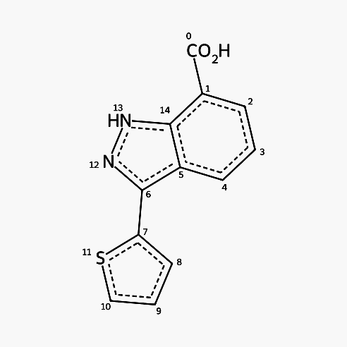 O=C(O)c1cccc2c(-c3cccs3)n[nH]c12